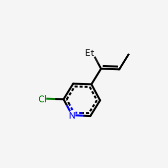 C/C=C(\CC)c1ccnc(Cl)c1